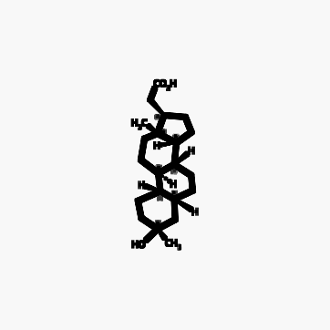 C[C@@]1(O)CC[C@H]2[C@H](CC[C@@H]3[C@@H]2CC[C@]2(C)[C@@H](CC(=O)O)CC[C@@H]32)C1